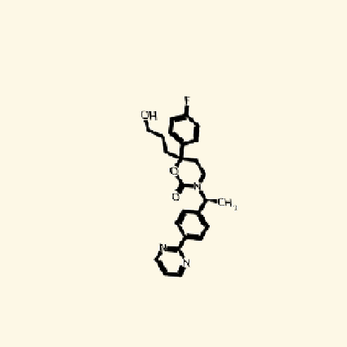 C[C@@H](c1ccc(-c2ncccn2)cc1)N1CCC(CCCO)(c2ccc(F)cc2)OC1=O